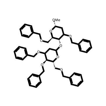 CO[C@@H]1CC(OCc2ccccc2)[C@H](OC2CC(OCc3ccccc3)[C@H](OCc3ccccc3)[C@@H](COCc3ccccc3)O2)[C@@H](COCc2ccccc2)O1